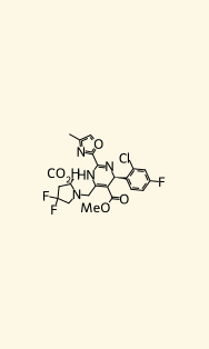 COC(=O)C1=C(CN2CC(F)(F)C[C@H]2C(=O)O)NC(c2nc(C)co2)=N[C@H]1c1ccc(F)cc1Cl